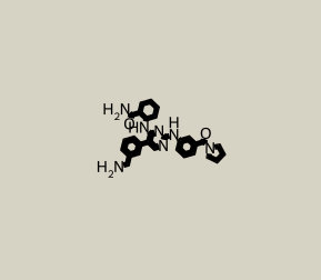 NCc1cccc(-c2cnc(Nc3cccc(C(=O)N4CCCC4)c3)nc2NC2CCCCC2C(N)=O)c1